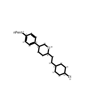 CCCCCc1ccc(C2CCC(CCC3CCC(CC)CC3)OC2)cc1